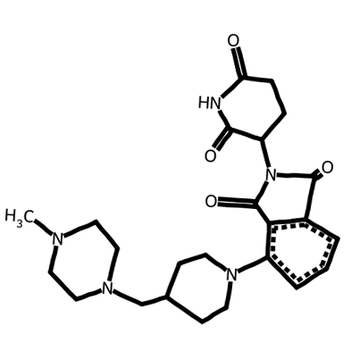 CN1CCN(CC2CCN(c3cccc4c3C(=O)N(C3CCC(=O)NC3=O)C4=O)CC2)CC1